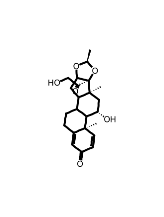 C[C@@H]1OC2CC3C4CCC5=CC(=O)C=C[C@]5(C)C4[C@@H](O)C[C@]3(C)[C@]2(C(=O)CO)O1